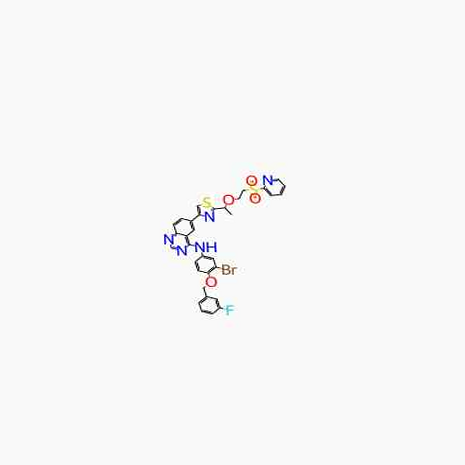 CC(OCCS(=O)(=O)c1ccccn1)c1nc(-c2ccc3ncnc(Nc4ccc(OCc5cccc(F)c5)c(Br)c4)c3c2)cs1